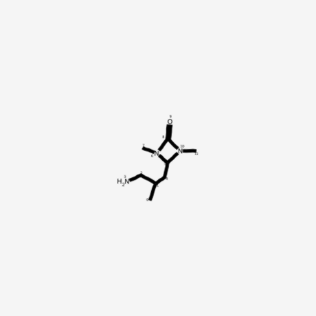 CC(CN)CC1N(C)C(=O)N1C